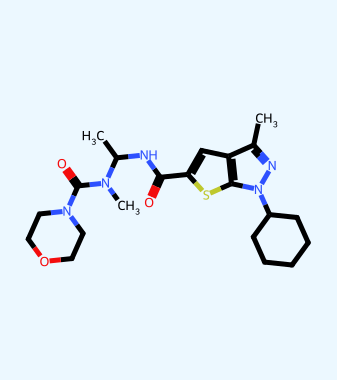 Cc1nn(C2CCCCC2)c2sc(C(=O)NC(C)N(C)C(=O)N3CCOCC3)cc12